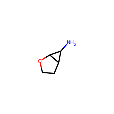 NC1C2CCOC12